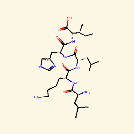 CC[C@H](C)[C@H](NC(=O)[C@H](Cc1c[nH]cn1)NC(=O)[C@H](CC(C)C)NC(=O)[C@H](CCCCN)NC(=O)[C@@H](N)CC(C)C)C(=O)O